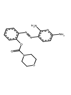 Nc1ccc(/N=N/c2ccccc2OC(=O)N2CCOCC2)c(N)n1